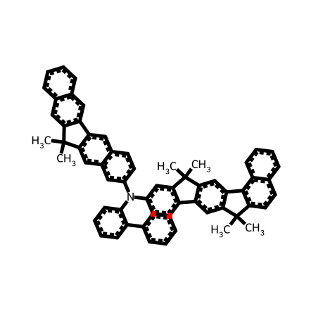 CC1(C)c2cc(N(c3ccc4cc5c(cc4c3)C(C)(C)c3cc4ccccc4cc3-5)c3ccccc3-c3ccccc3)ccc2-c2cc3c(cc21)-c1c(ccc2ccccc12)C3(C)C